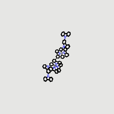 c1ccc([Si](c2cccc(-n3c4ccccc4c4cc(-n5c6ccccc6c6ccccc65)ccc43)c2)(n2c3ccccc3c3ccccc32)n2c3ccccc3c3cc(-c4cccc5c4c4ccccc4n5[Si](c4cccc(-n5c6ccccc6c6cc(-n7c8ccccc8c8ccccc87)ccc65)c4)(n4c5ccccc5c5ccccc54)n4c5ccccc5c5ccccc54)ccc32)cc1